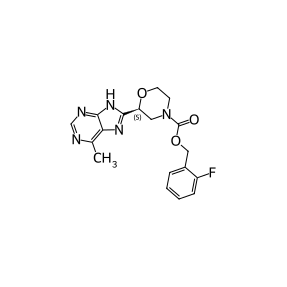 Cc1ncnc2[nH]c([C@@H]3CN(C(=O)OCc4ccccc4F)CCO3)nc12